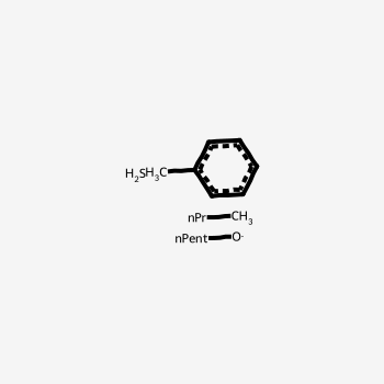 CCCC.CCCCC[O].Cc1ccccc1.S